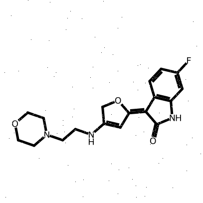 O=C1Nc2cc(F)ccc2/C1=C1/C=C(NCCN2CCOCC2)CO1